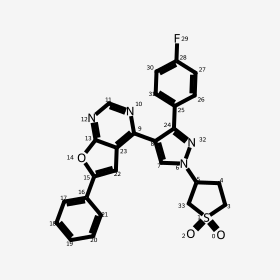 O=S1(=O)CCC(n2cc(-c3ncnc4oc(-c5ccccc5)cc34)c(-c3ccc(F)cc3)n2)C1